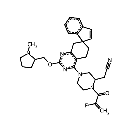 C=C(F)C(=O)N1CCN(c2nc(OCC3CCCN3C)nc3c2CCC2(C=Cc4ccccc42)C3)CC1CC#N